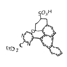 CCOC(=O)c1nccc(-c2cc3ccccc3c3ccc4c(c23)C(=O)CC(S(=O)(=O)O)C4)n1